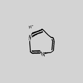 [H+].c1cncnc1